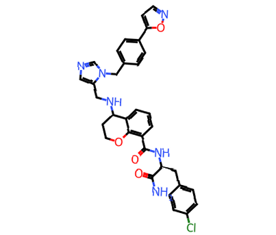 NC(=O)[C@H](Cc1ccc(Cl)cc1)NC(=O)c1cccc2c1OCCC2NCc1cncn1Cc1ccc(-c2ccno2)cc1